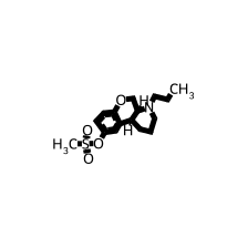 CCCN1CCC[C@H]2c3cc(OS(C)(=O)=O)ccc3OC[C@@H]21